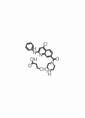 CCCC(=O)O.O=C(c1ccc2c(Cl)cc(Nc3ccccc3)nc2c1)N1CCNCC1